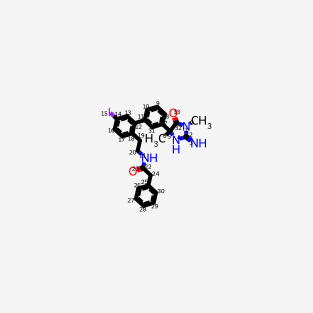 CN1C(=N)NC(C)(c2cccc(-c3cc(I)ccc3CCNC(=O)Cc3ccccc3)c2)C1=O